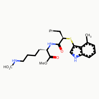 COC(=O)[C@H](CCCCNC(=O)O)NC(=O)[C@@H](CC(C)C)Sc1c[nH]c2cccc(C)c12